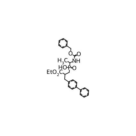 CCOC(=O)C(Cc1ccc(-c2ccccc2)cc1)CP(=O)(O)C(C)NC(=O)OCc1ccccc1